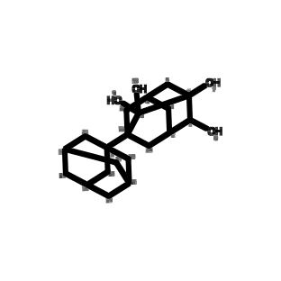 OC1C2CC3CC1(O)C(O)(O)C(C14CC5CC(CC(C5)C1)C4)(C3)C2